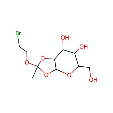 CC1(OCCBr)OC2OC(CO)C(O)C(O)C2O1